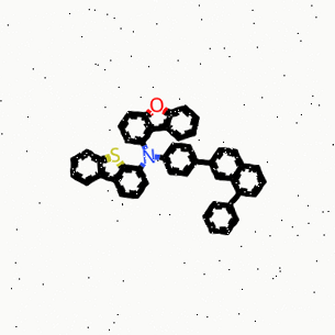 c1ccc(-c2cccc3ccc(-c4ccc(N(c5cccc6c5sc5ccccc56)c5cccc6oc7ccccc7c56)cc4)cc23)cc1